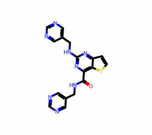 O=C(NCc1cncnc1)c1nc(NCc2cncnc2)nc2ccsc12